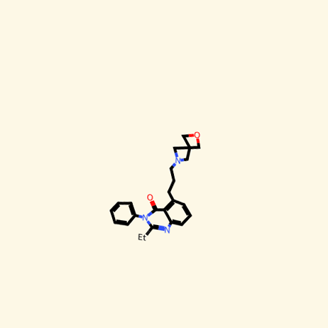 CCc1nc2cccc(CCCN3CC4(COC4)C3)c2c(=O)n1-c1ccccc1